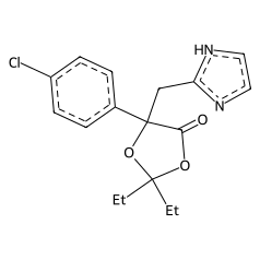 CCC1(CC)OC(=O)C(Cc2ncc[nH]2)(c2ccc(Cl)cc2)O1